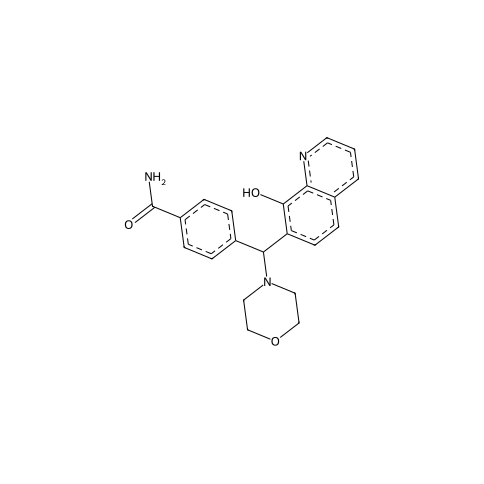 NC(=O)c1ccc(C(c2ccc3cccnc3c2O)N2CCOCC2)cc1